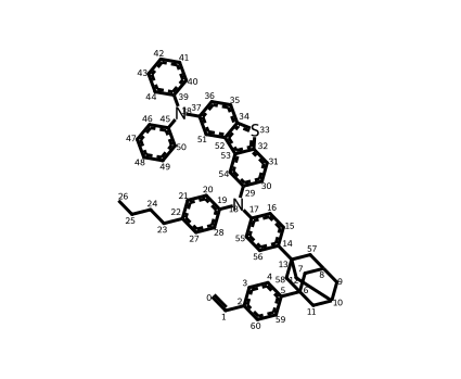 C=Cc1ccc(C23CC4CC(C2)CC(c2ccc(N(c5ccc(CCCC)cc5)c5ccc6sc7ccc(N(c8ccccc8)c8ccccc8)cc7c6c5)cc2)(C4)C3)cc1